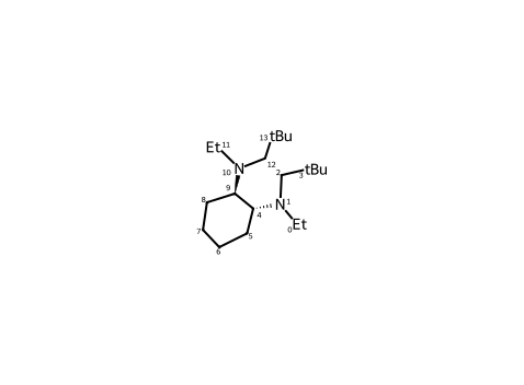 CCN(CC(C)(C)C)[C@@H]1CCCC[C@H]1N(CC)CC(C)(C)C